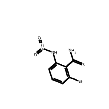 CCc1cccc(N[SH](=O)=O)c1C(N)=S